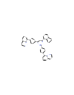 c1ccc2c(-c3cc(-c4ccc(-c5cccc6cccnc56)cc4)nc(-c4ccc(-c5cccc6cccnc56)cc4)n3)cccc2c1